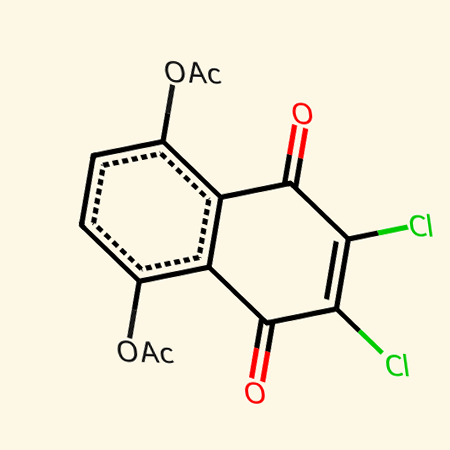 CC(=O)Oc1ccc(OC(C)=O)c2c1C(=O)C(Cl)=C(Cl)C2=O